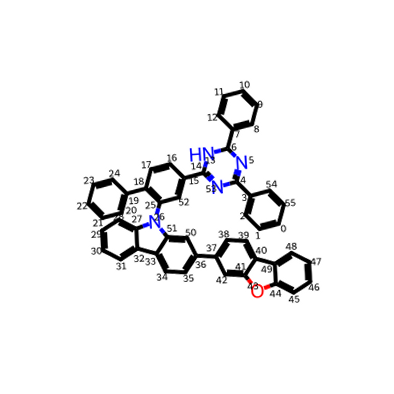 c1ccc(C2=NC(c3ccccc3)NC(c3ccc(-c4ccccc4)c(-n4c5ccccc5c5ccc(-c6ccc7c(c6)oc6ccccc67)cc54)c3)=N2)cc1